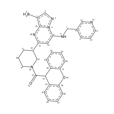 Bc1cnn2c(NCc3cccnc3)cc(C3CCCN(C(=O)C4c5ccccc5Oc5ccccc54)C3)nc12